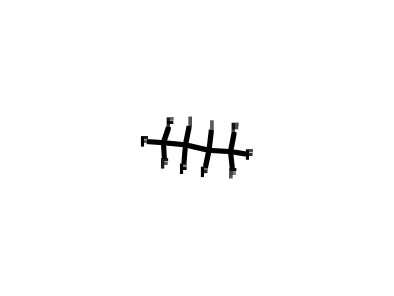 FC(F)(F)C(F)(I)C(F)(I)C(F)(F)F